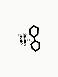 C.C1CCC(C2CCCCC2)CC1.N=C=O.N=C=O